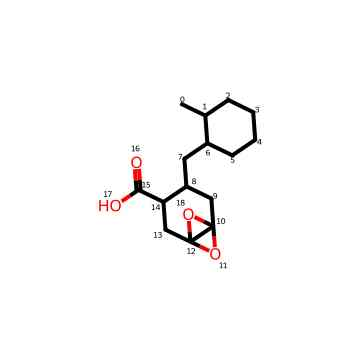 CC1CCCCC1CC1CC23OC2(CC1C(=O)O)O3